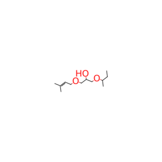 CCC(C)OCC(O)COCC=C(C)C